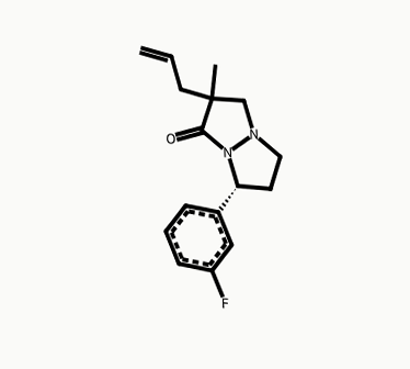 C=CCC1(C)CN2CC[C@H](c3cccc(F)c3)N2C1=O